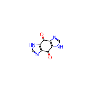 O=C1c2nc[nH]c2C(=O)c2nc[nH]c21